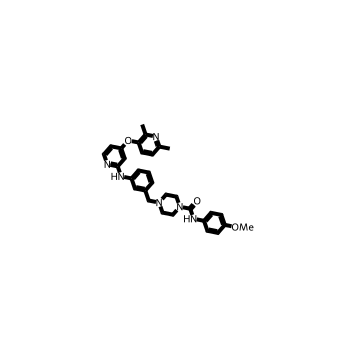 COc1ccc(NC(=O)N2CCN(Cc3cccc(Nc4cc(Oc5ccc(C)nc5C)ccn4)c3)CC2)cc1